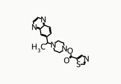 CC(c1ccc2nccnc2c1)N1CCN(OC(=O)c2cncs2)CC1